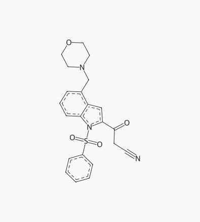 N#CCC(=O)c1cc2c(CN3CCOCC3)cccc2n1S(=O)(=O)c1ccccc1